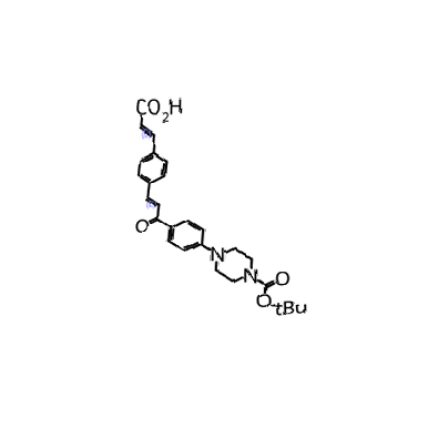 CC(C)(C)OC(=O)N1CCN(c2ccc(C(=O)/C=C/c3ccc(/C=C/C(=O)O)cc3)cc2)CC1